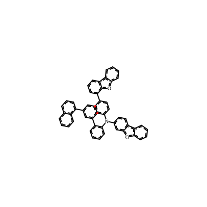 c1cc(-c2ccccc2N(c2ccc(-c3cccc4c3oc3ccccc34)cc2)c2ccc3c(c2)oc2ccccc23)cc(-c2cccc3ccccc23)c1